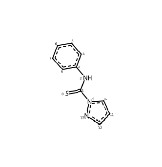 S=C(Nc1ccccc1)n1cccn1